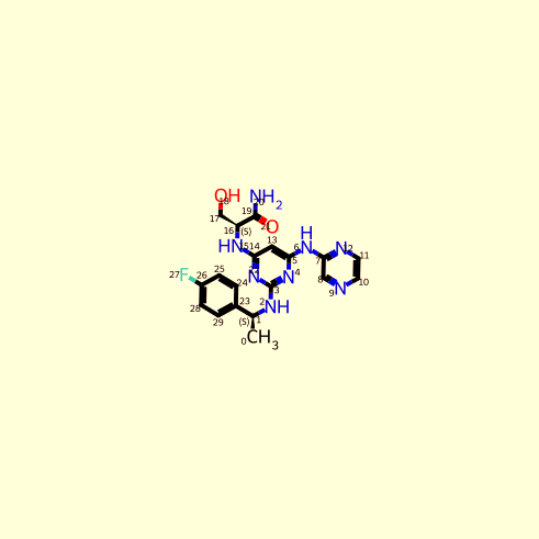 C[C@H](Nc1nc(Nc2cnccn2)cc(N[C@@H](CO)C(N)=O)n1)c1ccc(F)cc1